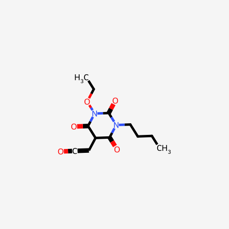 CCCCN1C(=O)C(C=C=O)C(=O)N(OCC)C1=O